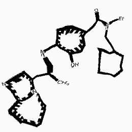 CCN(C(=O)c1ccc(/N=C(\C)c2cnc3ccccn23)c(O)c1)C1CCCCC1